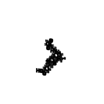 C=C(C)[C@@H]1CC[C@]2(CNCCCN3C(=O)CCC3=O)CC[C@]3(C)[C@H](CC[C@@H]4[C@@]5(C)CC=C(c6ccc(C(=O)O)cc6)C(C)(C)[C@@H]5CC[C@]43C)[C@@H]12